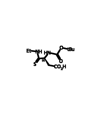 CCNC(=S)[C@H](CC(=O)O)NC(=O)OC(C)(C)C